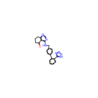 O=C1CCCc2ncnc(NCc3ccc(-c4ccccc4-c4nnn[nH]4)cc3)c21